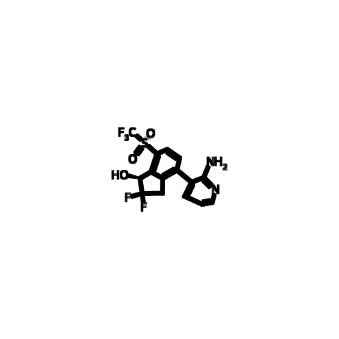 Nc1ncccc1-c1ccc(S(=O)(=O)C(F)(F)F)c2c1CC(F)(F)[C@H]2O